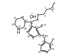 COCCCC[C@@](O)(c1cccc(Oc2ccccc2C)c1F)C1CCCNC1